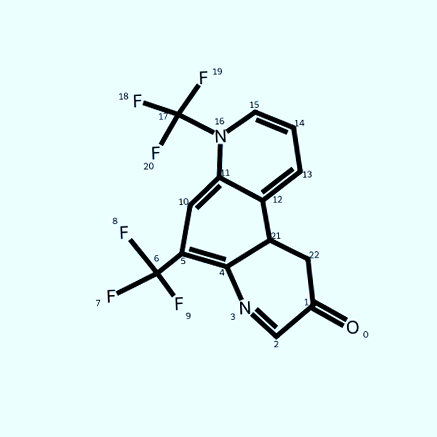 O=C1C=NC2=C(C(F)(F)F)C=C3C(=CC=CN3C(F)(F)F)C2C1